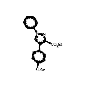 CCOC(=O)c1nn(-c2ccccc2)cc1-c1ccc(OC)cc1